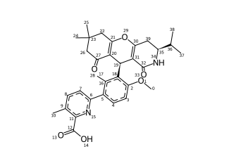 COc1ccc(-c2ccc(C)c(C(=O)O)n2)c(C)c1[C@H]1C2=C(CC(C)(C)CC2=O)OC2=C1C(=O)N[C@H](C(C)C)C2